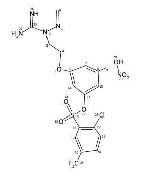 C=NN(CCOc1cc(C)cc(OS(=O)(=O)c2cc(C(F)(F)F)ccc2Cl)c1)C(=N)N.O=[N+]([O-])O